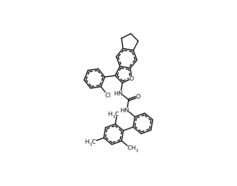 Cc1cc(C)c(-c2ccccc2NC(=O)Nc2oc3cc4c(cc3c2-c2ccccc2Cl)CCC4)c(C)c1